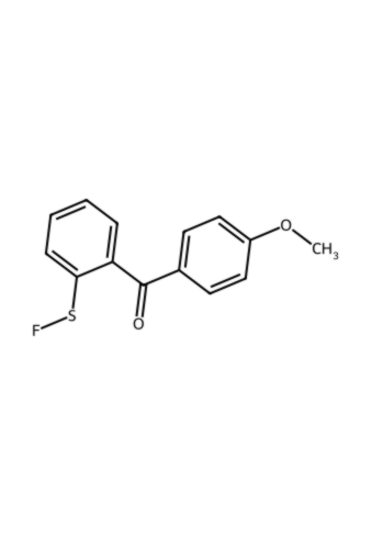 COc1ccc(C(=O)c2ccccc2SF)cc1